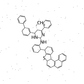 CC[C@@H]1C(C2C=CC=CC2)=NC(NC2=CC=CCC2C2CC=CC3=C2SC2C=Cc4ccc5ccccc5c4C32)NC1C1=CC(c2ccccc2)CC=C1